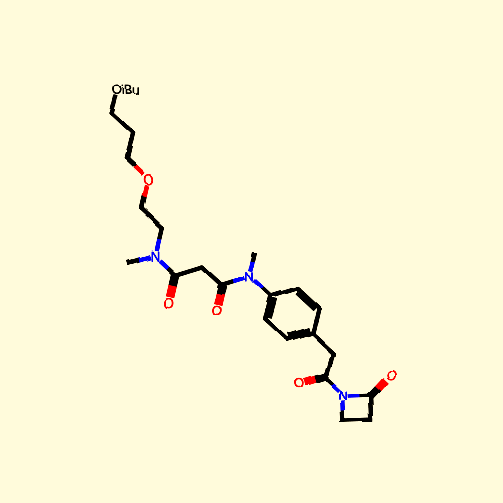 CC(C)COCCCOCCN(C)C(=O)CC(=O)N(C)c1ccc(CC(=O)N2CCC2=O)cc1